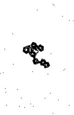 C1=CC2CC2(N(c2ccc(-c3cccc(-c4ccc5ccccc5c4)c3)cc2)c2cccc3c2sc2ccccc23)C=C1